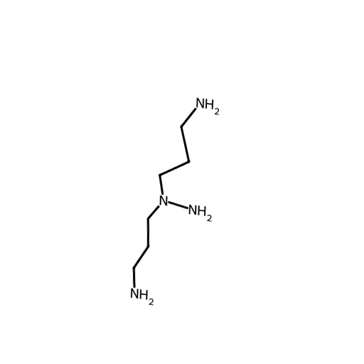 NCCCN(N)CCCN